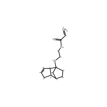 C=CC(=O)OCCOC12CCC(C1)C1CC=CC12